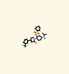 CC(C)N(C)[C@@H]1CC[C@H](N2CCC(c3cccc(C(F)(F)F)c3)=CC2=O)[C@@H](CS(=O)(=O)c2ccccc2)C1